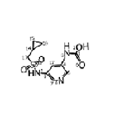 O=C(O)Nc1cncc(NS(=O)(=O)CC2CC2)c1